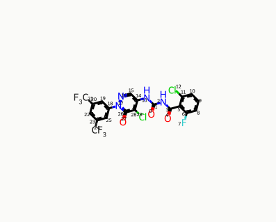 O=C(NC(=O)c1c(F)cccc1Cl)Nc1cnn(-c2cc(C(F)(F)F)cc(C(F)(F)F)c2)c(=O)c1Cl